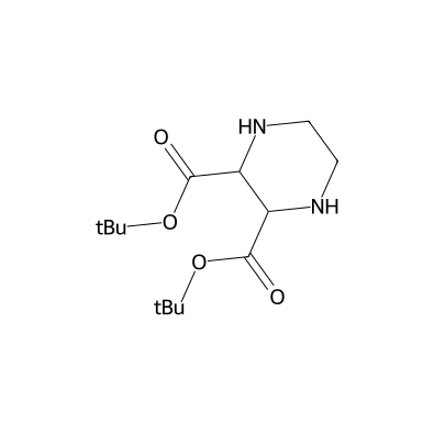 CC(C)(C)OC(=O)C1NCCNC1C(=O)OC(C)(C)C